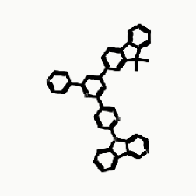 CC1(C)c2ccccc2-c2ccc(-c3cc(-c4ccncc4)nc(-c4ccc(-n5c6ccccc6c6cnccc65)nc4)c3)cc21